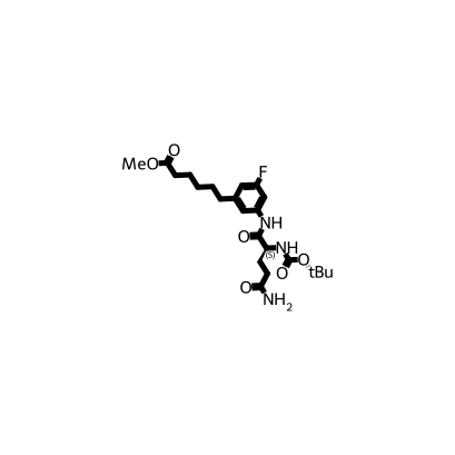 COC(=O)CCCCCc1cc(F)cc(NC(=O)[C@H](CCC(N)=O)NC(=O)OC(C)(C)C)c1